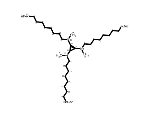 CCCCCCCCCCCCCCCCCCN(C)C1=C(N(C)CCCCCCCCCCCCCCCCCC)C1N(C)CCCCCCCCCCCCCCCCCC